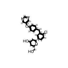 OC[C@@H]1CC(O)C[C@H](c2ccc(Cl)c(Cc3ccc(Oc4cncnc4)cc3)c2)O1